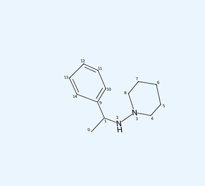 CC(NN1CCCCC1)c1ccccc1